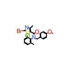 COc1ccc(CN(C(=O)c2sc(Br)nc2C)c2c(C)cccc2Cl)cc1